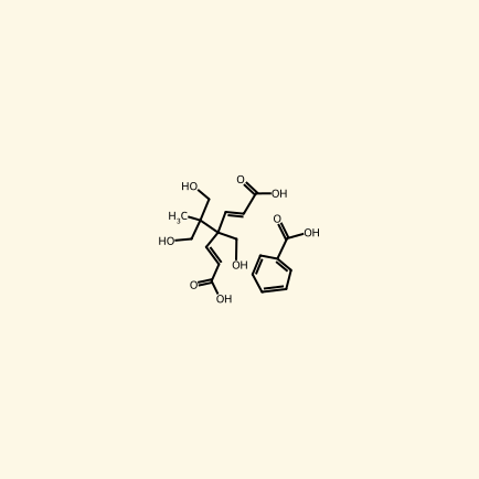 CC(CO)(CO)C(C=CC(=O)O)(C=CC(=O)O)CO.O=C(O)c1ccccc1